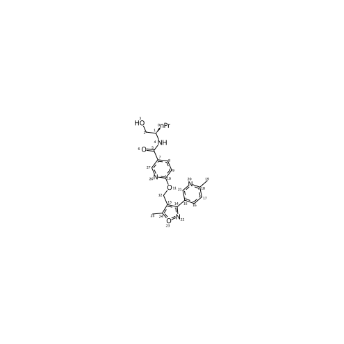 CCC[C@H](CO)NC(=O)c1ccc(OCc2c(-c3ccc(C)nc3)noc2C)nc1